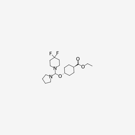 CCOC(=O)[C@H]1CC[C@H](OC(N2CCCC2)N2CCC(F)(F)CC2)CC1